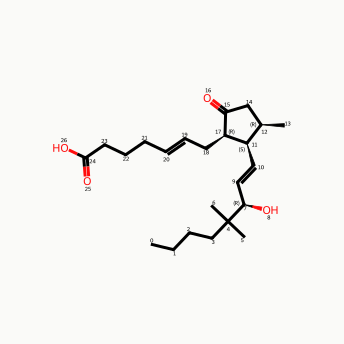 CCCCC(C)(C)[C@H](O)C=C[C@@H]1[C@H](C)CC(=O)[C@@H]1CC=CCCCC(=O)O